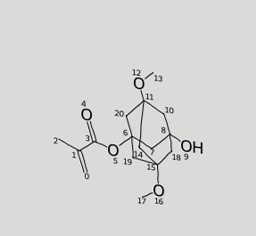 C=C(C)C(=O)OC12CC3(O)CC(OC)(CC(OC)(C3)C1)C2